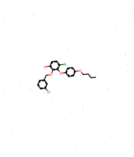 CCCCOc1ccc(Oc2c(Br)ccc([O])c2OCc2cccc(Cl)c2)cc1